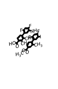 COC(=O)c1ccc(-c2cc(I)c(F)cc2F)c(C)c1.Cc1c(C(=O)O)ccc(-c2cc(N)c(F)cc2F)c1C